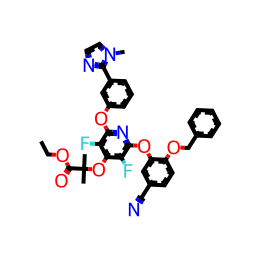 CCOC(=O)C(C)(C)Oc1c(F)c(Oc2cccc(-c3nccn3C)c2)nc(Oc2cc(C#N)ccc2OCc2ccccc2)c1F